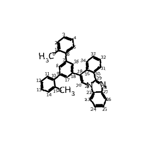 Cc1ccccc1-c1cc(-c2ccccc2C)cc(-c2cn3c4ccccc4nc3c3ccccc23)c1